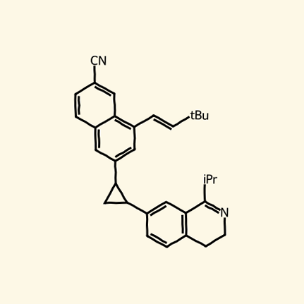 CC(C)C1=NCCc2ccc(C3CC3c3cc(C=CC(C)(C)C)c4cc(C#N)ccc4c3)cc21